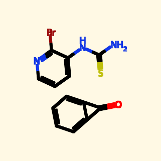 NC(=S)Nc1cccnc1Br.O=c1c2ccccc12